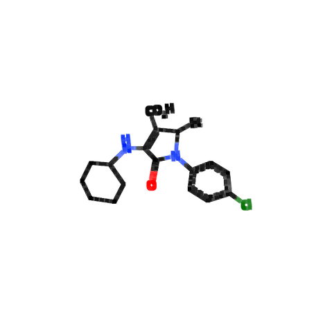 CCC1C(C(=O)O)=C(NC2CCCCC2)C(=O)N1c1ccc(Cl)cc1